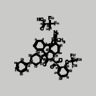 CCOc1ccccc1C1(N2CCN(c3ccncc3)CC2)C(=O)N(S(=O)(=O)c2ccccc2OC(F)(F)F)c2ccc(C#N)cc21.O=C(O)C(F)(F)F